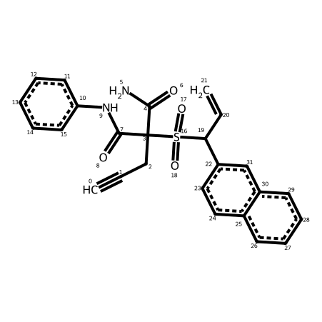 C#CCC(C(N)=O)(C(=O)Nc1ccccc1)S(=O)(=O)C(C=C)c1ccc2ccccc2c1